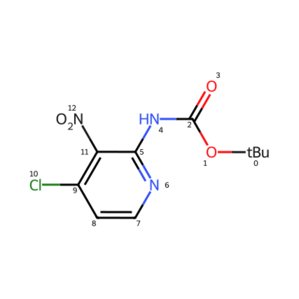 CC(C)(C)OC(=O)Nc1nccc(Cl)c1[N+](=O)[O-]